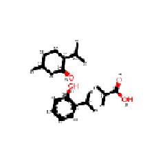 CC(C)C(=O)O.CC(C)c1ccccc1O.CC1CCC(C(C)C)C(=O)C1